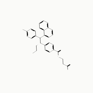 CCC[C@H](c1ccc(C(=O)NCCC(=O)O)cc1)C(c1ccc(Cl)cc1)c1cccc2ccccc12